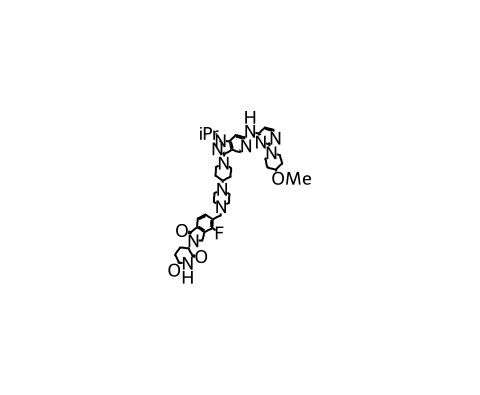 COC1CCN(c2nccc(Nc3cc4c(cn3)c(N3CCC(N5CCN(Cc6ccc7c(c6F)CN(C6CCC(=O)NC6=O)C7=O)CC5)CC3)nn4C(C)C)n2)CC1